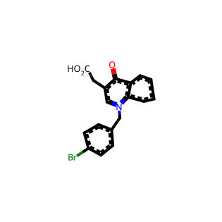 O=C(O)Cc1cn(Cc2ccc(Br)cc2)c2ccccc2c1=O